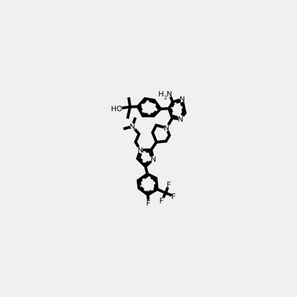 CN(C)CCn1cc(-c2ccc(F)c(C(F)(F)F)c2)nc1C1CCN(c2ncnc(N)c2-c2ccc(C(C)(C)O)cc2)CC1